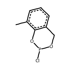 Cc1cccc2c1OP(Cl)OC2